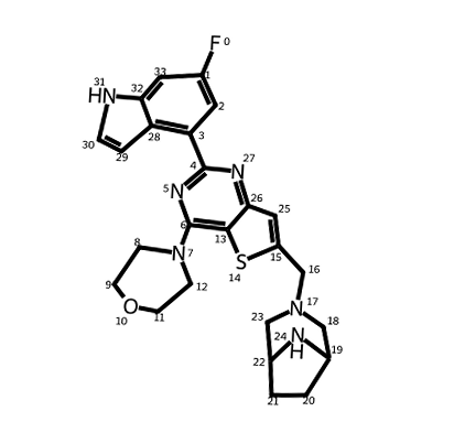 Fc1cc(-c2nc(N3CCOCC3)c3sc(CN4CC5CCC(C4)N5)cc3n2)c2cc[nH]c2c1